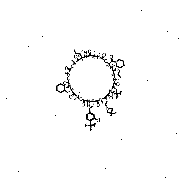 CC[C@H](C)[C@@H]1NC(=O)[C@H](C)N(C)C(=O)C[C@@H](C(=O)N2CCCCC2)N(C)C(=O)[C@H](C(C)C)N(C)C(=O)[C@H](CC(F)(F)F)NC(=O)[C@H](CCN2CC(F)(F)C2)N(C)C(=O)[C@H](CCc2ccc(C(F)(F)F)c(Cl)c2)NC(=O)CN(C)C(=O)[C@H](CC2CCCCC2)N(C)C(=O)CN(C)C(=O)CN(C)C1=O